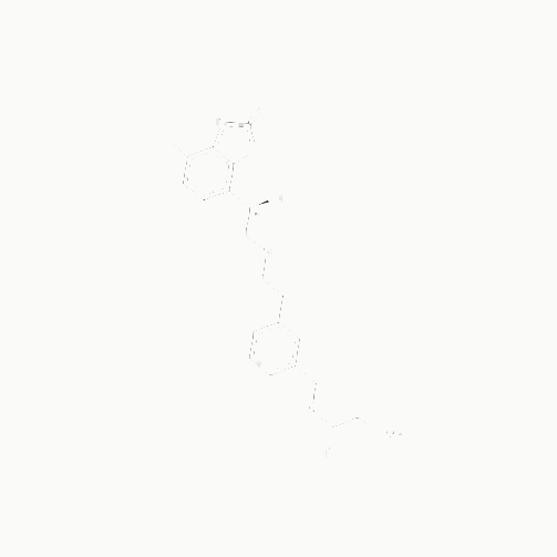 CC[C@@H](COC)NCc1cccc(CCNC[C@H](O)c2ccc(O)c3[nH]c(=O)sc23)c1